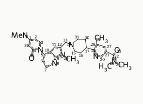 CNc1ccn(-c2ccnc3c2cc(CN2CCC(c4ncc(C(=O)N(C)C)cc4C)CC2)n3C)c(=O)c1